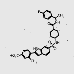 Cc1cc(C(=O)O)ccc1-c1cc2ccc(S(=O)(=O)N[C@H]3CC[C@H](C(=O)N[C@H](C)c4ccc(F)cc4)CC3)cc2[nH]1